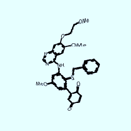 COCCOc1cc2ncnc(Nc3cc(OC)cc(C4=CC(=O)C=CC4=O)c3SCc3ccccc3)c2cc1OC